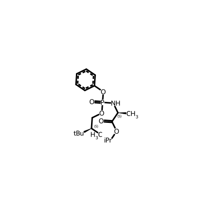 CC(C)OC(=O)[C@H](C)NP(=O)(OC[C@@H](C)C(C)(C)C)Oc1ccccc1